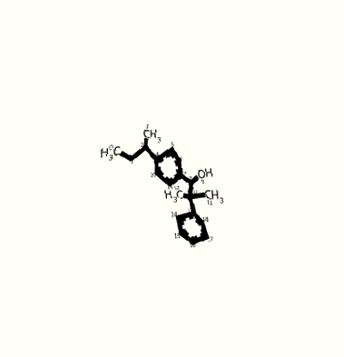 CCC(C)c1ccc(C(O)C(C)(C)c2ccccc2)cc1